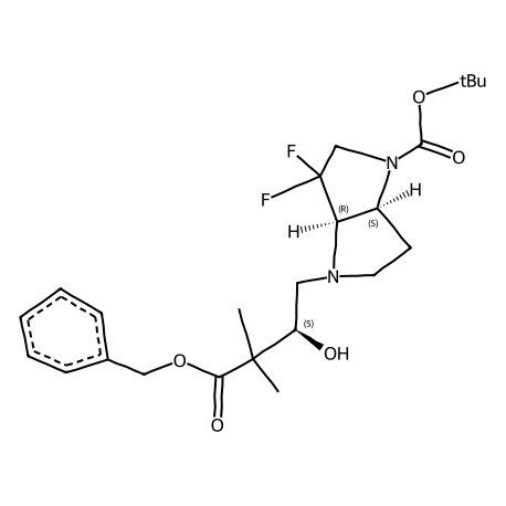 CC(C)(C)OC(=O)N1CC(F)(F)[C@H]2[C@@H]1CCN2C[C@@H](O)C(C)(C)C(=O)OCc1ccccc1